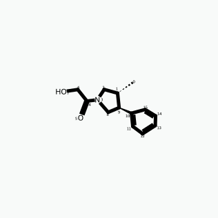 C[C@H]1CN(C(=O)CO)C[C@@H]1c1ccccc1